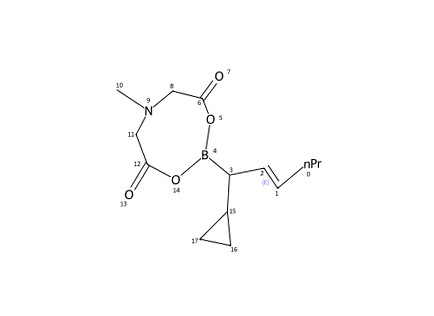 CCC/C=C/C(B1OC(=O)CN(C)CC(=O)O1)C1CC1